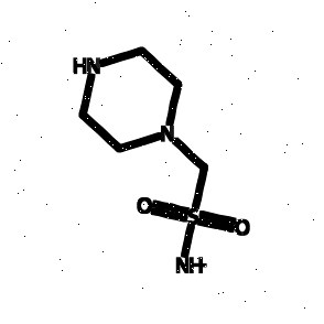 [NH]S(=O)(=O)CN1CCNCC1